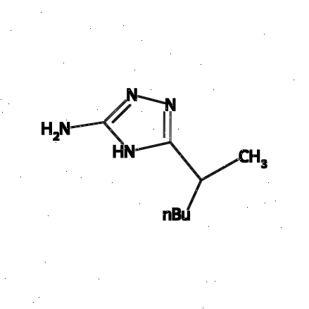 CCCCC(C)c1nnc(N)[nH]1